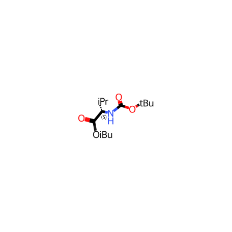 CC(C)COC(=O)[C@@H](NC(=O)OC(C)(C)C)C(C)C